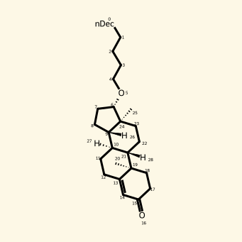 CCCCCCCCCCCCCCO[C@H]1CC[C@H]2[C@@H]3CCC4=CC(=O)CC[C@]4(C)[C@H]3CC[C@]12C